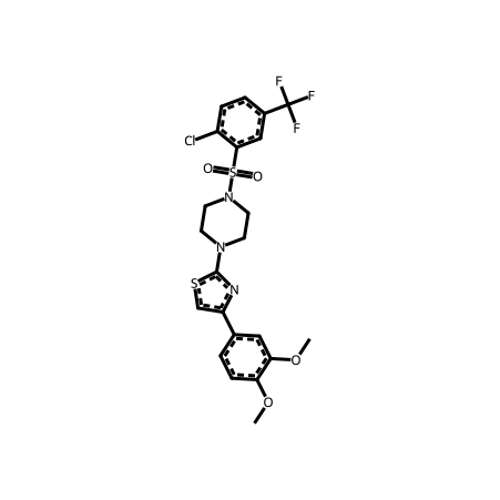 COc1ccc(-c2csc(N3CCN(S(=O)(=O)c4cc(C(F)(F)F)ccc4Cl)CC3)n2)cc1OC